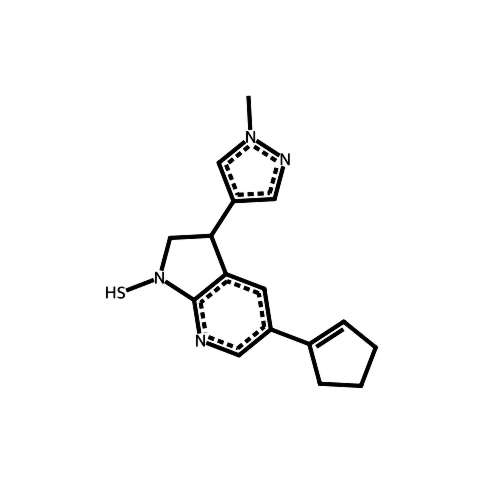 Cn1cc(C2CN(S)c3ncc(C4=CCCC4)cc32)cn1